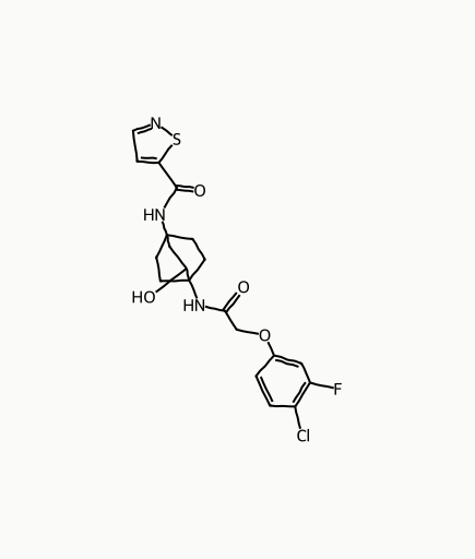 O=C(COc1ccc(Cl)c(F)c1)NC12CCC(NC(=O)c3ccns3)(CC1)CC2O